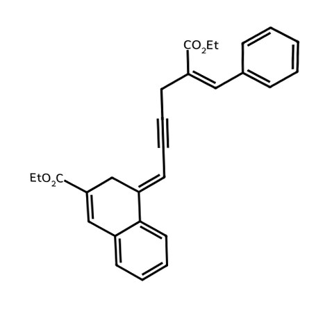 CCOC(=O)C(=Cc1ccccc1)CC#CC=C1CC(C(=O)OCC)=Cc2ccccc21